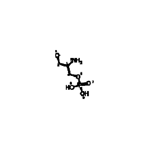 N[C@H](C[O])COP(=O)(O)O